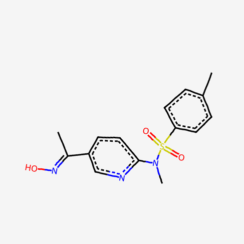 CC(=NO)c1ccc(N(C)S(=O)(=O)c2ccc(C)cc2)nc1